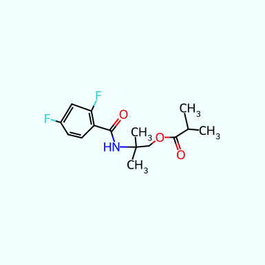 CC(C)C(=O)OCC(C)(C)NC(=O)c1ccc(F)cc1F